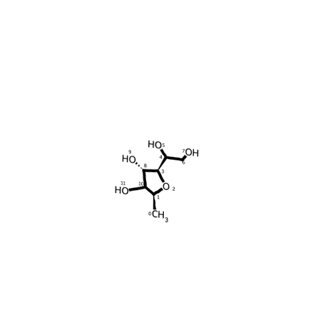 C[C@@H]1O[C@H](C(O)CO)[C@@H](O)C1O